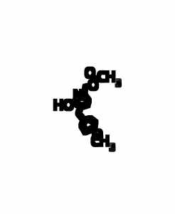 COc1ccc(Cc2ccc(COC(C)=O)nc2O)cc1